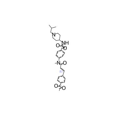 CC(C)CN1CCC(NS(=O)(=O)c2ccc(N(C)C(=O)/C=C/c3ccc(S(C)(=O)=O)cc3)cc2)CC1